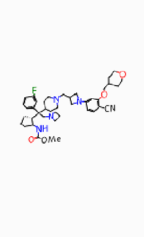 COC(=O)N[C@H]1CCC[C@@H]1[C@](CN1CCC1)(c1cccc(F)c1)C1CCN(CC2CN(c3ccc(C#N)c(OCC4CCOCC4)c3)C2)CC1